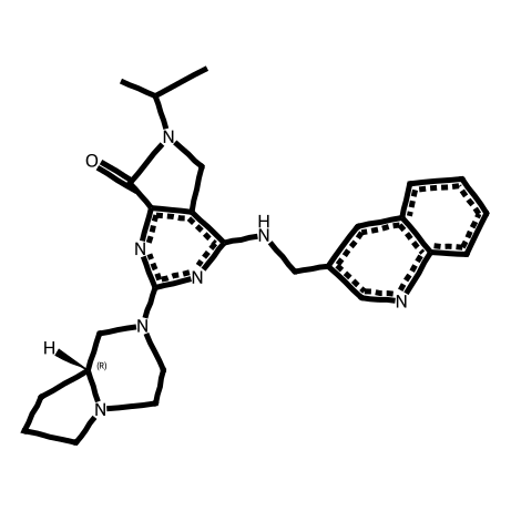 CC(C)N1Cc2c(NCc3cnc4ccccc4c3)nc(N3CCN4CCC[C@@H]4C3)nc2C1=O